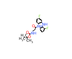 CC(C)(C)OC(=O)NCCC(=O)Nc1ccc(F)cc1Nc1ccccc1F